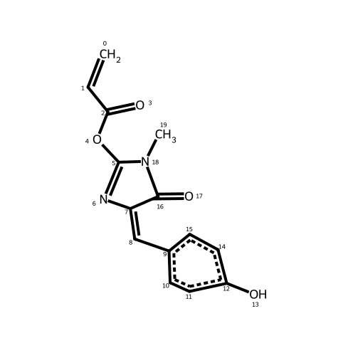 C=CC(=O)OC1=NC(=Cc2ccc(O)cc2)C(=O)N1C